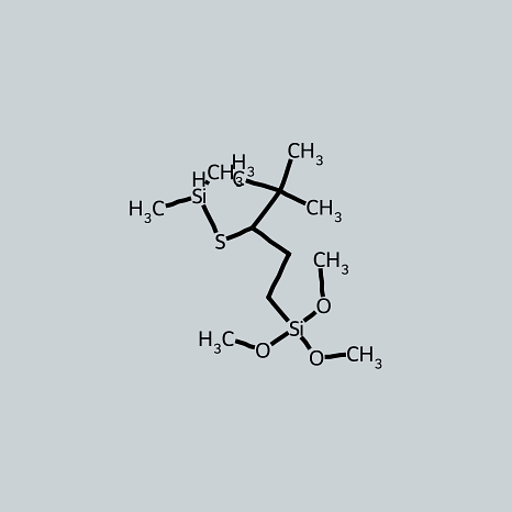 CO[Si](CCC(S[SiH](C)C)C(C)(C)C)(OC)OC